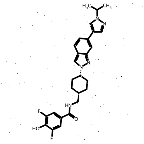 CC(C)n1cc(-c2ccc3cn([C@H]4CC[C@H](CNC(=O)c5cc(F)c(O)c(F)c5)CC4)nc3c2)cn1